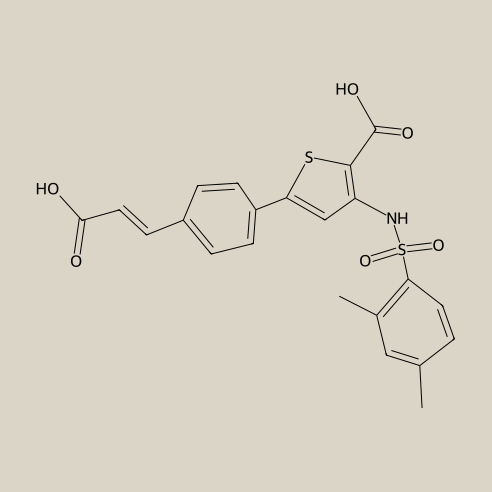 Cc1ccc(S(=O)(=O)Nc2cc(-c3ccc(C=CC(=O)O)cc3)sc2C(=O)O)c(C)c1